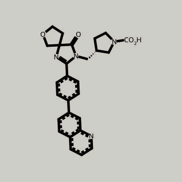 O=C(O)N1CC[C@@H](CN2C(=O)C3(CCOC3)N=C2c2ccc(-c3ccc4cccnc4c3)cc2)C1